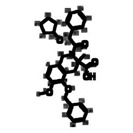 COc1ccc2c(c1OCc1ccccc1)CC(C)(C(=O)O)N(C(=O)[C@H](OC1CCCC1)c1ccccc1)C2